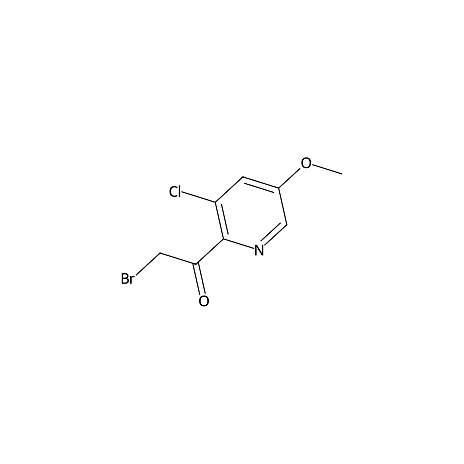 COc1cnc(C(=O)CBr)c(Cl)c1